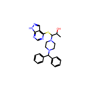 CC(O)C(Sc1ncnc2[nH]ncc12)N1CCN(C(c2ccccc2)c2ccccc2)CC1